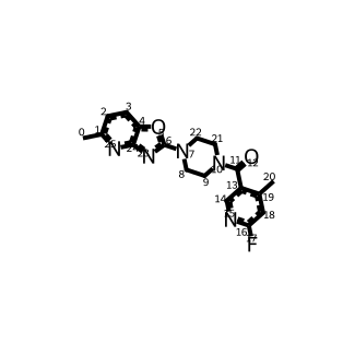 Cc1ccc2oc(N3CCN(C(=O)c4cnc(F)cc4C)CC3)nc2n1